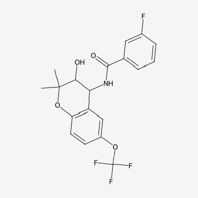 CC1(C)Oc2ccc(OC(F)(F)F)cc2C(NC(=O)c2cccc(F)c2)C1O